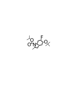 Cc1cc2cc(OC(C)(C)C)c(F)cc2n1C(=O)OC(C)C